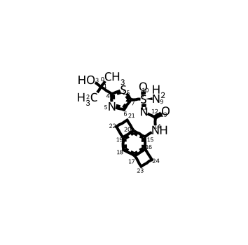 CC(C)(O)c1ncc([S@](N)(=O)=NC(=O)Nc2c3c(cc4c2CC4)CC3)s1